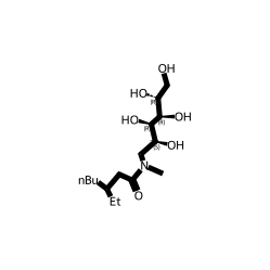 CCCCC(CC)CC(=O)N(C)C[C@H](O)[C@@H](O)[C@H](O)[C@H](O)CO